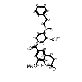 COc1cc(C(=O)N2CCC(N(C)CCc3ccccc3)CC2)cc2c1NC(=O)CC2.Cl